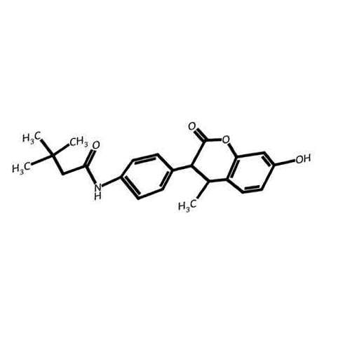 CC1c2ccc(O)cc2OC(=O)C1c1ccc(NC(=O)CC(C)(C)C)cc1